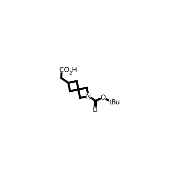 CC(C)(C)OC(=O)N1CC2(CC(CC(=O)O)C2)C1